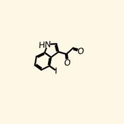 O=CC(=O)c1c[nH]c2cccc(I)c12